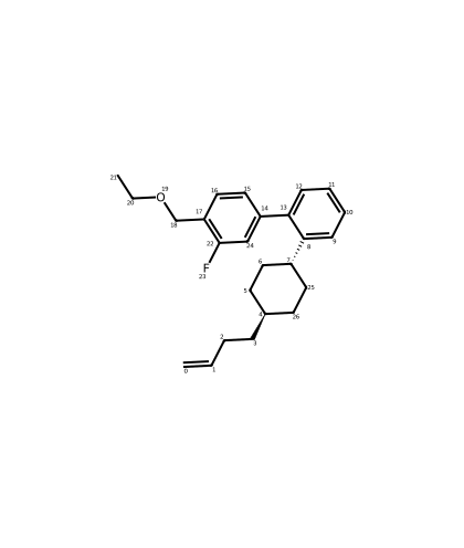 C=CCC[C@H]1CC[C@H](c2ccccc2-c2ccc(COCC)c(F)c2)CC1